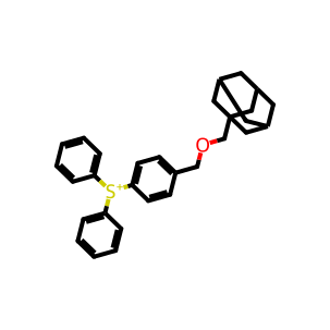 c1ccc([S+](c2ccccc2)c2ccc(COCC34CC5CC(CC(C5)C3)C4)cc2)cc1